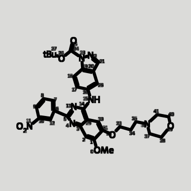 COc1cc2nc(-c3cccc([N+](=O)[O-])c3)nc(Nc3ccc4c(cnn4C(=O)OC(C)(C)C)c3)c2cc1OCCCN1CCOCC1